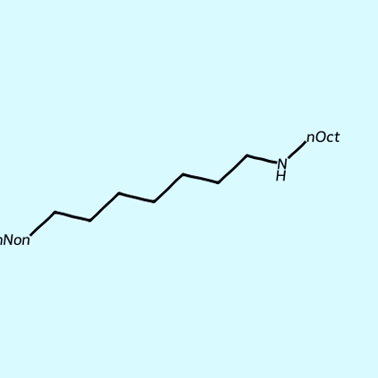 CCCCCCCCCCCCCCCCNCCCCCCCC